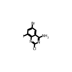 Nc1nc(Cl)nc2c(I)cc(Br)cc12